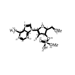 COCC1OC(n2cnc3c(N)ncnc32)C(F)C1OP(=O)(O)OC